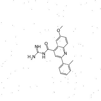 COc1ccc2nc(-c3ccccc3C)cc(C(=O)NC(=N)N)c2c1